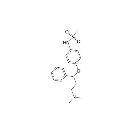 CN(C)CCC(Oc1ccc(NS(C)(=O)=O)cc1)c1ccccc1